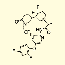 C[C@@H](C(=O)Nc1ccc(Oc2ccc(F)cc2F)cn1)N1CCC(F)(F)C(C2CCC(=O)N(CC(F)(F)F)C2)C1